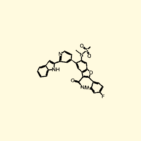 CNC(=O)c1c(-c2ccc(F)cc2)oc2cc(N(C)S(C)(=O)=O)c(-c3ccnc(-c4cc5ccccc5[nH]4)c3)cc12